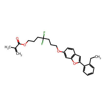 C=C(C)C(=O)OCCCC(F)(F)CCCOc1ccc2cc(-c3ccccc3CC)oc2c1